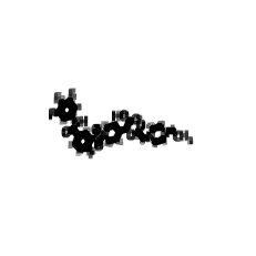 CCN1CCN(CC(=O)OC(C(=O)O)C2CCN(S(=O)(=O)c3cc(C(=O)Nc4cc(F)c(F)c(F)c4)ccc3F)CC2)CC1